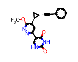 O=c1[nH]cc(-c2cc([C@H]3C[C@@H]3C#Cc3ccccc3)c(OC(F)(F)F)nn2)c(=O)[nH]1